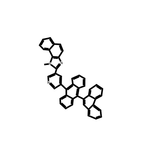 Cn1c(-c2cncc(-c3c4ccccc4c(-c4cc5ccccc5c5ccccc45)c4ccccc34)c2)nc2ccc3ccccc3c21